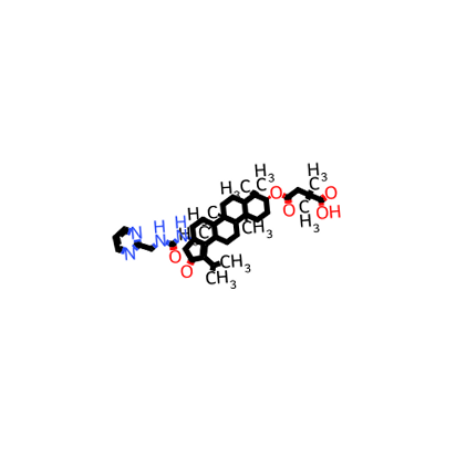 CC(C)C1=C2C3CCC4[C@@]5(C)CC[C@H](OC(=O)CC(C)(C)C(=O)O)C(C)(C)C5CC[C@@]4(C)[C@]3(C)CC[C@@]2(NC(=O)NCc2ncccn2)CC1=O